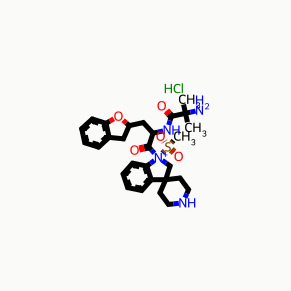 CC(C)(N)C(=O)NC(CC1Cc2ccccc2O1)C(=O)[N+]1(S(C)(=O)=O)CC2(CCNCC2)c2ccccc21.Cl